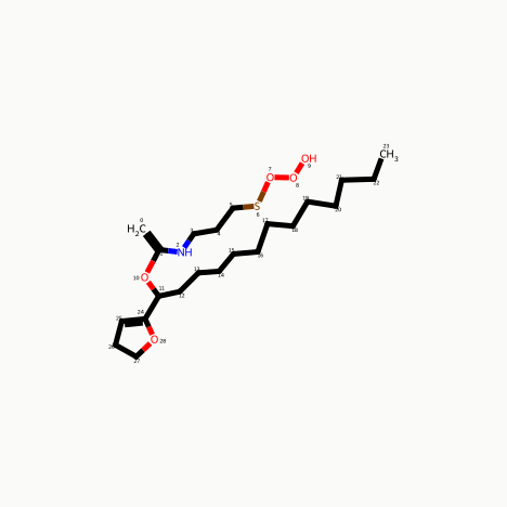 C=C(NCCCSOOO)OC(CCCCCCCCCCCC)C1=CCCO1